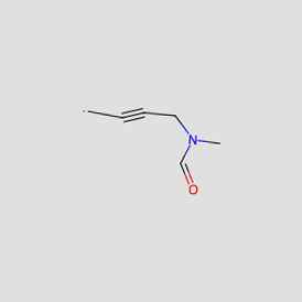 [CH2]C#CCN(C)C=O